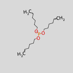 C=CCCCCOP(OCCCCC=C)OCCCCC=C